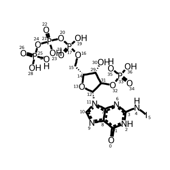 O=c1[nH]c(NI)nc2c1ncn2[C@@H]1O[C@H](COP(=O)(O)OP(=O)(O)OP(=O)(O)O)[C@H](O)C1OP(=O)(O)O